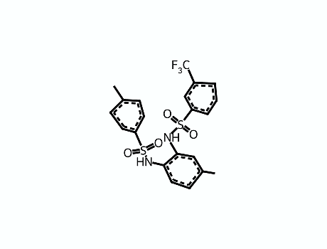 Cc1ccc(S(=O)(=O)Nc2ccc(C)cc2NS(=O)(=O)c2cccc(C(F)(F)F)c2)cc1